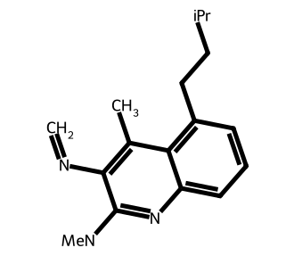 C=Nc1c(NC)nc2cccc(CCC(C)C)c2c1C